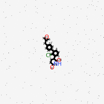 O=C1CCC(c2cccc(-c3ccc(CC4COC4)cc3)c2Cl)C(=O)N1